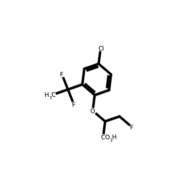 CC(F)(F)c1cc(Cl)ccc1OC(CF)C(=O)O